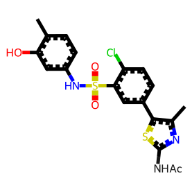 CC(=O)Nc1nc(C)c(-c2ccc(Cl)c(S(=O)(=O)Nc3ccc(C)c(O)c3)c2)s1